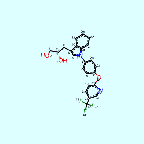 OC[C@@H](O)Cc1cn(-c2ccc(Oc3ccc(C(F)(F)F)cn3)cc2)c2ccccc12